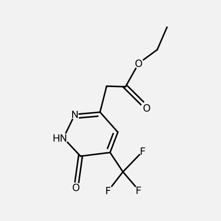 CCOC(=O)Cc1cc(C(F)(F)F)c(=O)[nH]n1